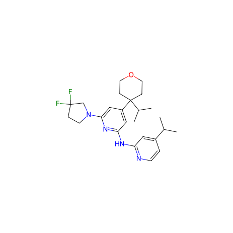 CC(C)c1ccnc(Nc2cc(C3(C(C)C)CCOCC3)cc(N3CCC(F)(F)C3)n2)c1